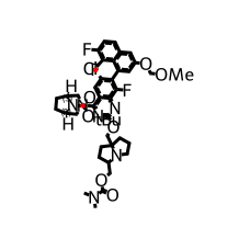 COCOc1cc(-c2c(F)cc3c(N4C[C@H]5CC[C@@H](C4)N5C(=O)OC(C)(C)C)nc(OCC45CCCN4C(COC(=O)N(C)C)CC5)nc3c2F)c2c(Cl)c(F)ccc2c1